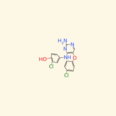 Nc1ncc(Oc2ccc(Cl)cc2)c(Nc2ccc(O)c(Cl)c2)n1